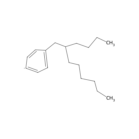 CCCCCCC(CCCC)Cc1cc[c]cc1